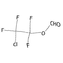 O=COC(F)(F)C(F)(F)Cl